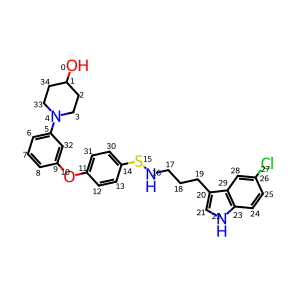 OC1CCN(c2cccc(Oc3ccc(SNCCCc4c[nH]c5ccc(Cl)cc45)cc3)c2)CC1